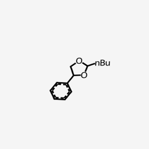 CCCCC1OCC(c2ccccc2)O1